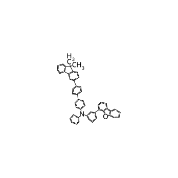 CC1(C)c2ccccc2-c2cc(-c3ccc(-c4ccc(N(c5ccccc5)c5cccc(-c6cccc7c6oc6ccccc67)c5)cc4)cc3)ccc21